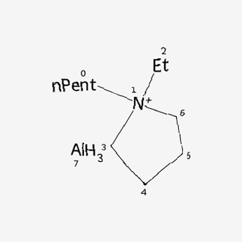 CCCCC[N+]1(CC)CCCC1.[AlH3]